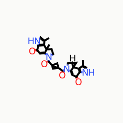 Cc1c[nH]c2c1C1(C)CCN(C(=O)C34CC(C(=O)N5C[C@H]6CC67C5=CC(=O)c5[nH]cc(C)c57)(C3)C4)C1=CC2=O